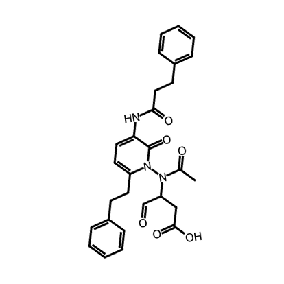 CC(=O)N(C(C=O)CC(=O)O)n1c(CCc2ccccc2)ccc(NC(=O)CCc2ccccc2)c1=O